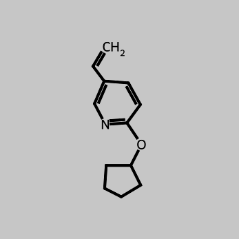 C=Cc1ccc(OC2CCCC2)nc1